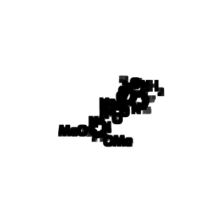 COc1cc(OC)nc(NC(=O)NS(=O)(=O)c2nccc(N)c2S(C)(=O)=O)n1